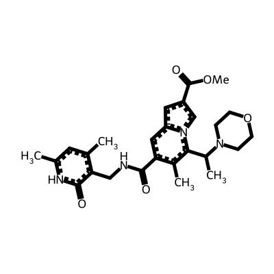 COC(=O)c1cc2cc(C(=O)NCc3c(C)cc(C)[nH]c3=O)c(C)c(C(C)N3CCOCC3)n2c1